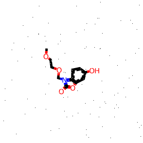 COCCOCn1c(=O)oc2cc(O)ccc21